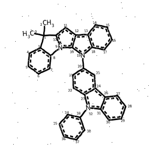 CC1(C)c2ccccc2-n2c1cc1c3ccccc3n(-c3ccc4c(c3)c3ccccc3n4-c3ccccc3)c12